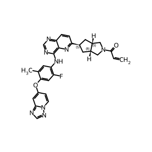 C=CC(=O)N1C[C@H]2C[C@H](c3ccc4ncnc(Nc5cc(C)c(Oc6ccn7ncnc7c6)cc5F)c4n3)C[C@H]2C1